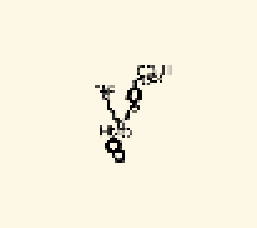 CCOC(Cc1ccc(OCCN(CCCCCC(C)(F)F)C(=O)Nc2ccc3c(c2)CCC3)cc1)C(=O)O